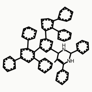 CC1=C(c2ccccc2)NC(c2ccccc2)NC1c1cc(-c2cccc(-c3ccccc3)c2-c2ccccc2)cc(-c2c(-c3ccccc3)cc(-c3ccccc3)cc2-c2ccccc2)c1